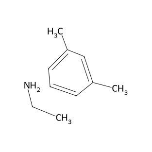 CCN.Cc1cccc(C)c1